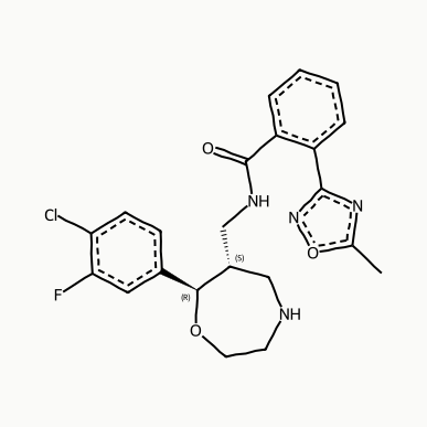 Cc1nc(-c2ccccc2C(=O)NC[C@@H]2CNCCO[C@H]2c2ccc(Cl)c(F)c2)no1